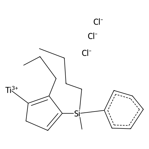 CCCC[Si](C)(C1=CC[C]([Ti+3])=C1CCC)c1ccccc1.[Cl-].[Cl-].[Cl-]